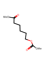 COC(=O)CCCCCOC(=O)OC